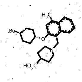 Cc1cc(O[C@H]2CC[C@H](C(C)(C)C)CC2)c(CN2CCC(C(=O)O)CC2)c2ccccc12